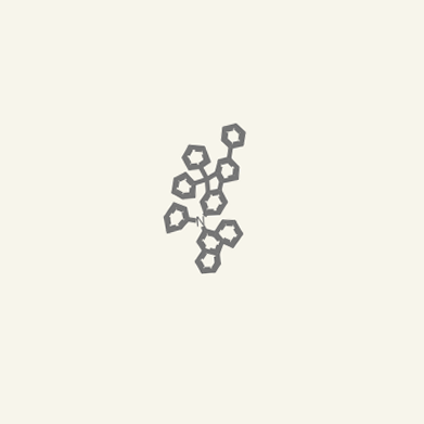 c1ccc(-c2ccc3c(c2)C(c2ccccc2)(c2ccccc2)c2cc(N(c4ccccc4)c4cc5ccccc5c5ccccc45)ccc2-3)cc1